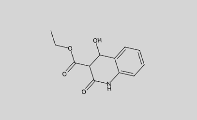 CCOC(=O)C1C(=O)Nc2ccccc2C1O